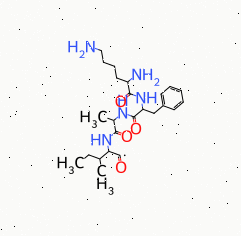 CCC(C)C([C]=O)NC(=O)C(C)NC(=O)C(Cc1ccccc1)NC(=O)C(N)CCCCN